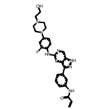 C=CC(=O)Nc1cccc(-c2n[nH]c3cnc(Nc4ccc(N5CCN(CCO)CC5)cc4F)nc23)c1